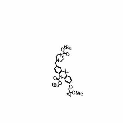 COC1(COc2ccc3c(c2)N(C(=O)OC(C)(C)C)c2ccc(CN4CCN(C(=O)OC(C)(C)C)CC4)cc2C3(C)C)CC1